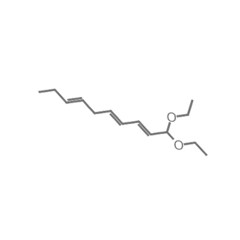 CCC=CCC=CC=CC(OCC)OCC